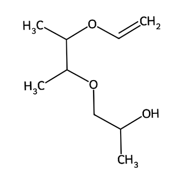 C=COC(C)C(C)OCC(C)O